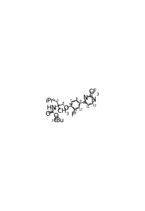 CC(C)CC(C)(COc1ccc(-c2ccnc(C(F)(F)F)n2)cc1F)NC(=O)OC(C)(C)C